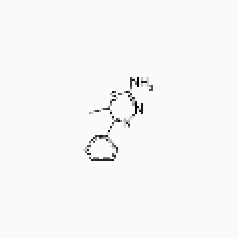 CC1SC(N)=NN=C1c1ccccc1